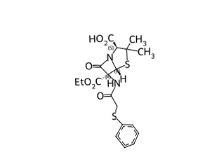 CCOC(=O)[C@]1(NC(=O)CSc2ccccc2)C(=O)N2[C@@H](C(=O)O)C(C)(C)S[C@@H]21